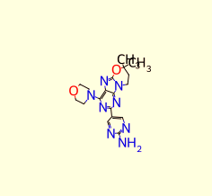 CC1(C)CCn2c(nc3c(N4CCOCC4)nc(-c4cnc(N)nc4)nc32)O1